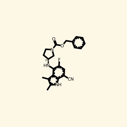 Cc1[nH]c2c(C#N)cc(F)c(N[C@H]3CCN(C(=O)OCc4ccccc4)C3)c2c1C